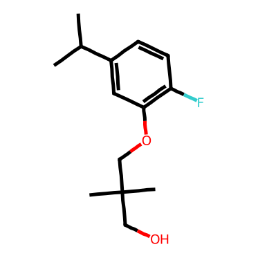 CC(C)c1ccc(F)c(OCC(C)(C)CO)c1